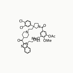 CCOCCn1c(C(=O)C2CCN(CCC3(c4ccc(Cl)c(Cl)c4)CCN(C(=O)c4cc(OC)c(OC)c(OC(C)=O)c4)C3)CC2)nc2ccccc21